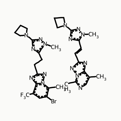 Cc1c(Br)cc(C(F)(F)F)c2nc(CCc3nc(N4CCCC4)nn3C)nn12.Cc1cnc(C)n2nc(C=Cc3nc(N4CCC4)nn3C)nc12